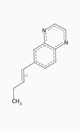 CC/C=C/c1ccc2nccnc2c1